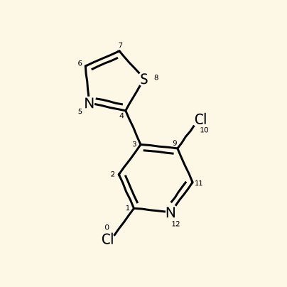 Clc1cc(-c2nccs2)c(Cl)cn1